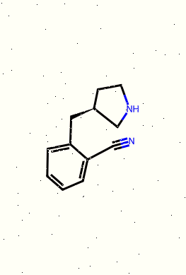 N#Cc1ccccc1C[C@H]1CCNC1